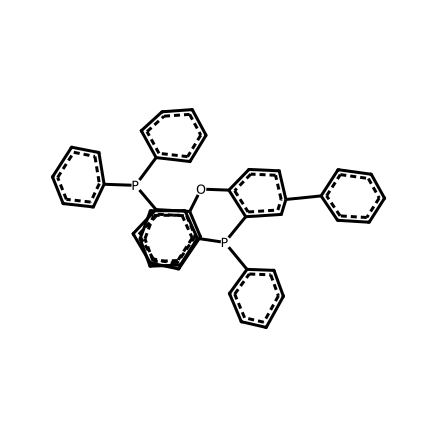 c1ccc(-c2ccc(Oc3ccccc3P(c3ccccc3)c3ccccc3)c(P(c3ccccc3)c3ccccc3)c2)cc1